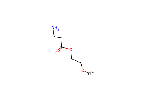 CCCOCCOC(=O)CCN